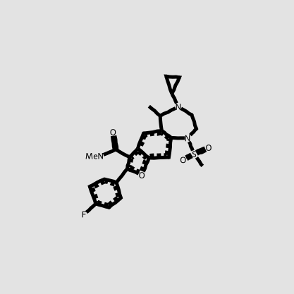 CNC(=O)c1c(-c2ccc(F)cc2)oc2cc3c(cc12)C(C)N(C1CC1)CCN3S(C)(=O)=O